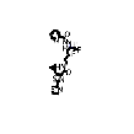 O=C(N/N=C(\CCCCNC(=O)c1nc(-c2nccs2)sc1C1CC1)C(F)(F)F)c1ccccn1